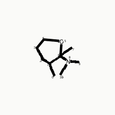 CC1CCCOC1(C)N(C)C